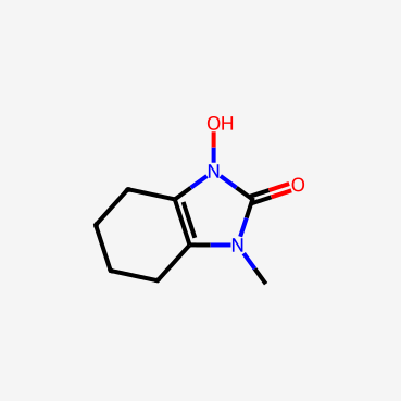 Cn1c2c(n(O)c1=O)CCCC2